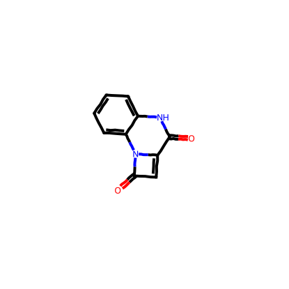 O=C1Nc2ccccc2N2C(=O)C=C12